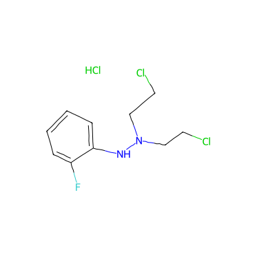 Cl.Fc1ccccc1NN(CCCl)CCCl